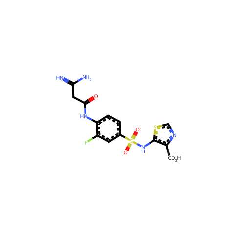 N=C(N)CC(=O)Nc1ccc(S(=O)(=O)Nc2scnc2C(=O)O)cc1F